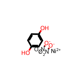 O=[N+]([O-])[O-].O=[N+]([O-])[O-].Oc1ccc(O)cc1.[Ni+2]